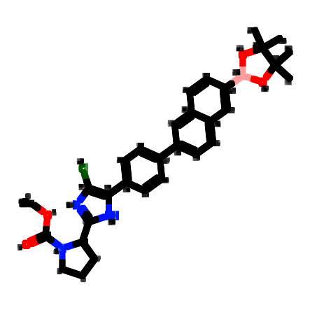 CC(C)(C)OC(=O)N1CCCC1c1nc(Cl)c(-c2ccc(-c3ccc4cc(B5OC(C)(C)C(C)(C)O5)ccc4c3)cc2)[nH]1